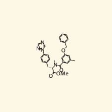 COC(=O)[C@H](Cc1ccc(-n2cncn2)cc1)N(C)C(=O)c1cc(C)cc(OCc2ccccc2)c1